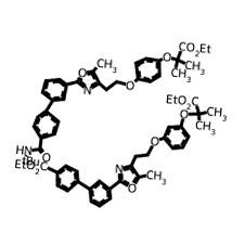 CCOC(=O)C(C)(C)Oc1ccc(OCCc2nc(-c3cccc(-c4ccc(C(=O)NC(C)(C)C)cc4)c3)oc2C)cc1.CCOC(=O)c1ccc(-c2cccc(-c3nc(CCOc4cccc(OC(C)(C)C(=O)OCC)c4)c(C)o3)c2)cc1